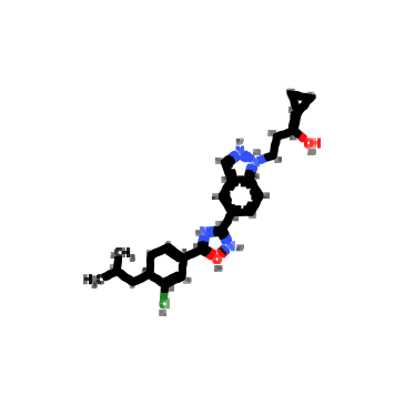 CC(C)CC1CC=C(c2nc(-c3ccc4c(cnn4CCC(O)=C4CC4)c3)no2)C=C1Cl